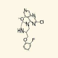 COc1cncc2nc(Cl)nc(N3CCNC(COc4ccccc4F)C3)c12